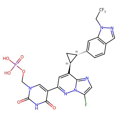 O=c1[nH]c(=O)n(COP(=O)(O)O)cc1-c1cc([C@H]2C[C@@H]2c2ccc3cnn(CC(F)(F)F)c3c2)c2ncc(F)n2n1